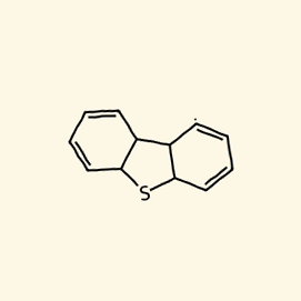 [C]1=CC=CC2SC3C=CC=CC3C12